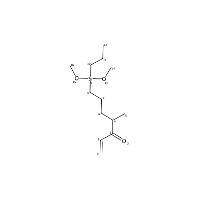 C=CC(=O)C(C)CCC[Si](CCC)(OC)OC